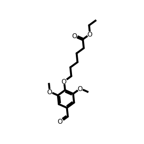 CCOC(=O)CCCCCOc1c(OC)cc(C=O)cc1OC